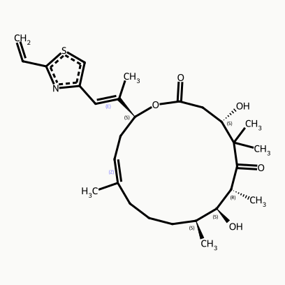 C=Cc1nc(/C=C(\C)[C@@H]2C/C=C(/C)CCC[C@H](C)[C@H](O)[C@@H](C)C(=O)C(C)(C)[C@@H](O)CC(=O)O2)cs1